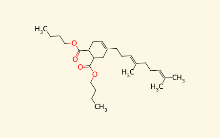 CCCCOC(=O)C1CC=C(CC/C=C(\C)CCC=C(C)C)CC1C(=O)OCCCC